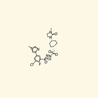 CN1CCN([C@H]2CC[C@@H](CS(=O)(=O)NNC(=O)c3cc(-c4cn(C)cn4)cc(Cl)c3F)CC2)C1=O